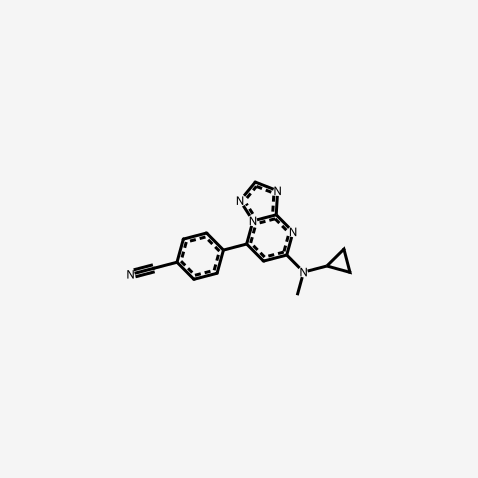 CN(c1cc(-c2ccc(C#N)cc2)n2ncnc2n1)C1CC1